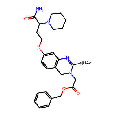 CC(=O)NC1=Nc2cc(OCCC(C(N)=O)N3CCCCC3)ccc2CN1CC(=O)OCc1ccccc1